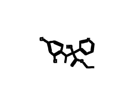 C=C(OCC)C(O)(c1cccnc1)C(C)c1ccc(Cl)cc1Cl